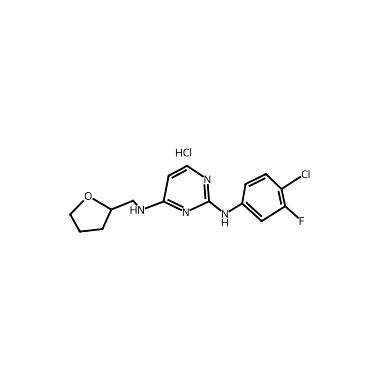 Cl.Fc1cc(Nc2nccc(NCC3CCCO3)n2)ccc1Cl